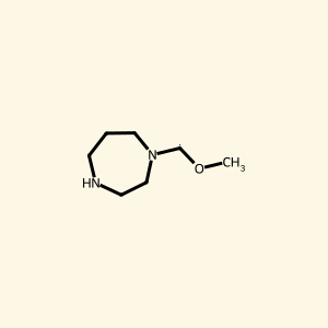 CO[CH]N1CCCNCC1